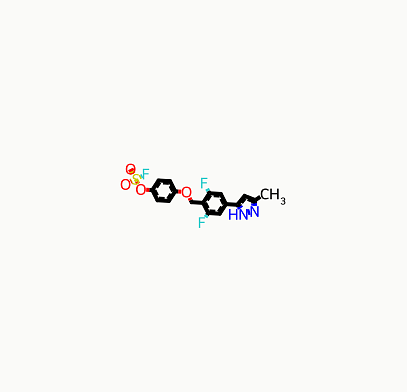 Cc1cc(-c2cc(F)c(COc3ccc(OS(=O)(=O)F)cc3)c(F)c2)[nH]n1